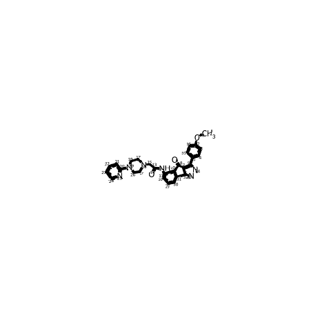 COc1ccc(C2=C3C(=O)c4c(NC(=O)CN5CCN(c6ccccn6)CC5)cccc4C3N=N2)cc1